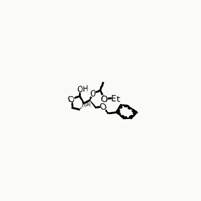 CCOC(C)O[C@@H](COCc1ccccc1)[C@@H]1CCOC1O